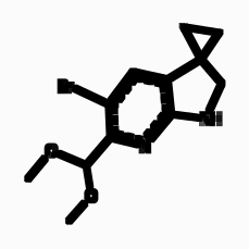 COC(OC)c1nc2c(cc1Br)C1(CC1)CN2